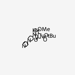 COC(=O)C1CN(C(=O)OC(C)(C)C)CC(=O)N1NC1CCN(c2ccncc2)CC1